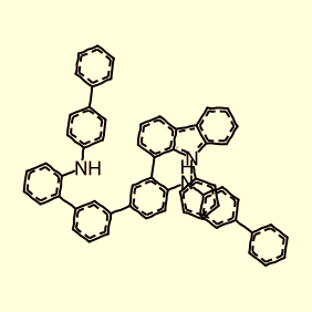 c1ccc(-c2ccc(Nc3ccccc3-c3cccc(-c4ccc(Nc5ccc(-c6ccccc6)cc5)c(-c5cccc6c7ccccc7n(-c7ccccc7)c56)c4)c3)cc2)cc1